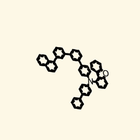 c1ccc(-c2ccc(N(c3ccc(-c4cccc(-c5cccc(-c6cccc7ccccc67)c5)c4)cc3)c3cccc4oc5ccccc5c34)cc2)cc1